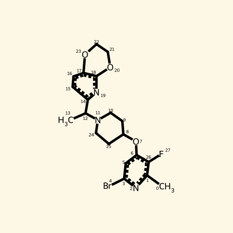 Cc1nc(Br)cc(OC2CCN(C(C)c3ccc4c(n3)OCCO4)CC2)c1F